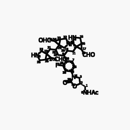 CC(=O)NC[C@H]1CN(c2ccc(C(CCC34CNCC3C4C=O)CC(CC34CNCC3C4C=O)C34CNCC3C4C=O)c(F)c2)C(=O)O1